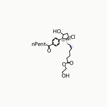 CCCCCC(=O)c1ccc([C@H]2C(O)C[C@@H](Cl)[C@@H]2C/C=C\CCCC(=O)OCCO)cc1